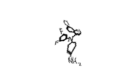 NC1CCC(N(c2cc(F)cc(F)c2)c2ccnc3cc(Cl)ccc23)CC1